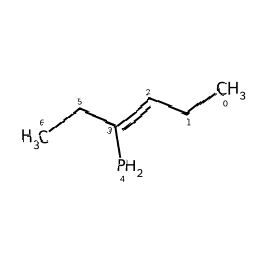 CCC=C(P)CC